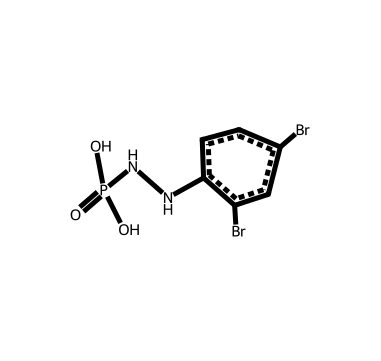 O=P(O)(O)NNc1ccc(Br)cc1Br